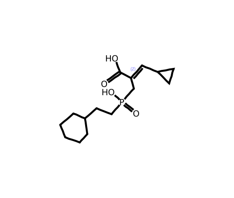 O=C(O)/C(=C/C1CC1)CP(=O)(O)CCC1CCCCC1